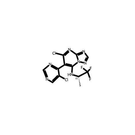 C[C@H](Nc1c(-c2ncncc2Cl)c(Cl)nc2ncnn12)C(F)(F)F